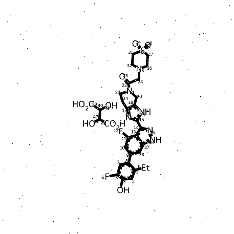 CCc1cc(O)c(F)cc1-c1cc(F)c2c(-c3nc4c([nH]3)CN(C(=O)CN3CCS(=O)(=O)CC3)CC4)n[nH]c2c1.O=C(O)C(O)C(O)C(=O)O